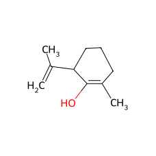 C=C(C)C1CCCC(C)=C1O